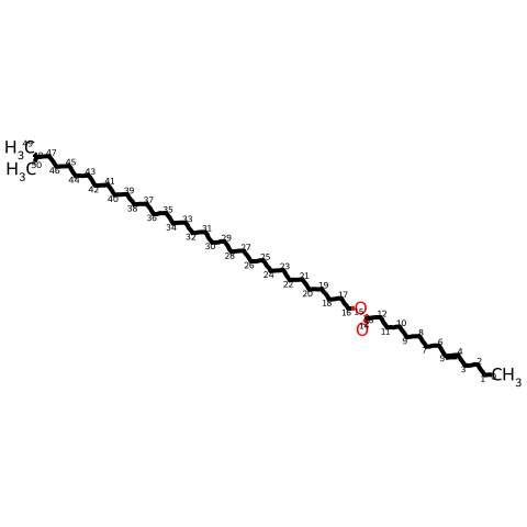 CCCCC=CCCCCCCCC(=O)OCCCCCCCCCCCCCCCCCCCCCCCCCCCCCCCCC(C)C